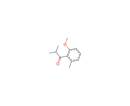 COc1cccc(C)c1C(=O)C(C)C